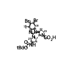 CC(C)(C)OC(=O)N[C@@H]1CCN(c2nc3c(I)c(Br)c(Br)cc3n2[C@H]2CCN(C(=O)O)C2)C1